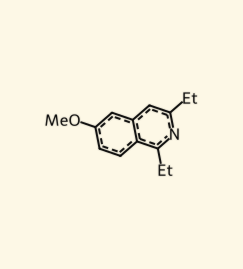 CCc1cc2cc(OC)ccc2c(CC)n1